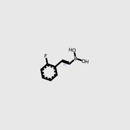 OB(O)/C=C/c1ccccc1F